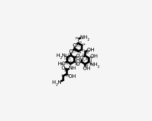 NCC[C@H](O)C(=O)N[C@@H]1C(O)[C@H](N)C(OC2=CCC[C@@H](CN)O2)C(O)[C@H]1O[C@H]1OC(CO)[C@H](O)[C@H](N)C1O